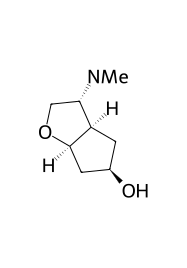 CN[C@H]1CO[C@@H]2C[C@H](O)C[C@H]12